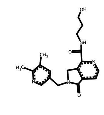 Cc1cc(CN2Cc3c(ccnc3C(=O)NCCCO)C2=O)cnc1C